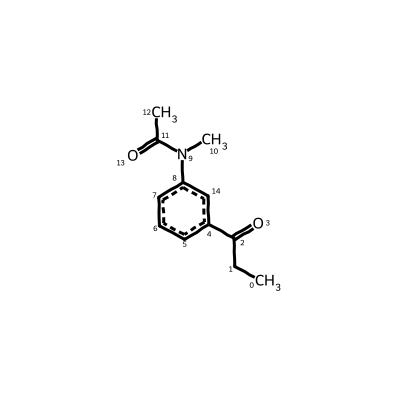 CCC(=O)c1cccc(N(C)C(C)=O)c1